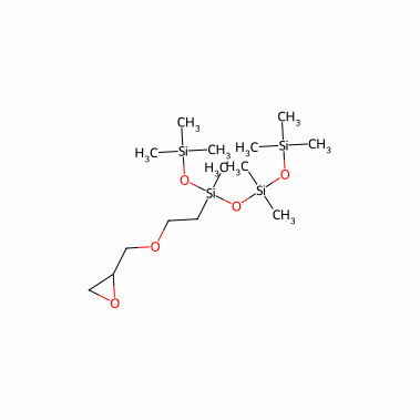 C[Si](C)(C)O[Si](C)(C)O[Si](C)(CCOCC1CO1)O[Si](C)(C)C